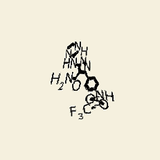 NC(=O)c1c(-c2ccc(NS(=O)(=O)CC(F)(F)F)cc2)n[nH]c1Nc1cnccn1